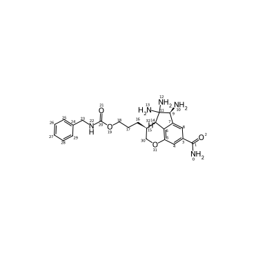 NC(=O)c1cc2c3c(c1)[C@H](N)C(N)(N)[C@H]3[C@H](CCCOC(=O)NCc1ccccc1)CO2